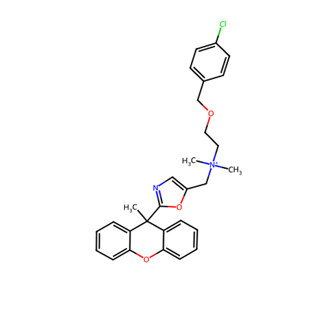 CC1(c2ncc(C[N+](C)(C)CCOCc3ccc(Cl)cc3)o2)c2ccccc2Oc2ccccc21